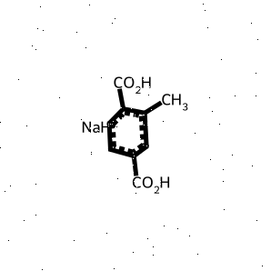 Cc1cc(C(=O)O)ccc1C(=O)O.[NaH]